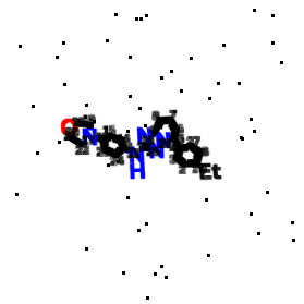 CCc1ccc(-c2cccc3nc(Nc4ccc(N5CCOCC5)cc4)nn23)cc1